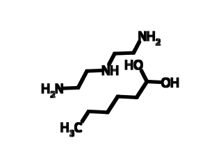 CCCCCC(O)O.NCCNCCN